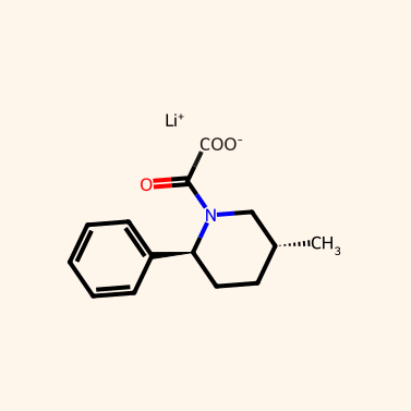 C[C@@H]1CC[C@@H](c2ccccc2)N(C(=O)C(=O)[O-])C1.[Li+]